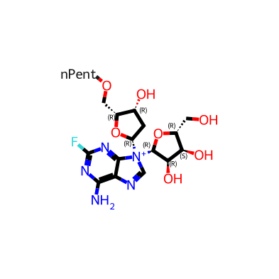 CCCCCOC[C@H]1O[C@@H]([N+]2([C@@H]3O[C@H](CO)[C@@H](O)[C@H]3O)C=Nc3c(N)nc(F)nc32)C[C@H]1O